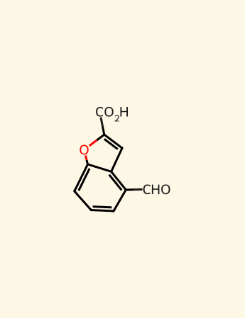 O=Cc1cccc2oc(C(=O)O)cc12